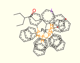 CCC(CC)C(=O)CC[CH](c1ccccc1I)[Pd]([PH](c1ccccc1)(c1ccccc1)c1ccccc1)([PH](c1ccccc1)(c1ccccc1)c1ccccc1)([PH](c1ccccc1)(c1ccccc1)c1ccccc1)[PH](c1ccccc1)(c1ccccc1)c1ccccc1